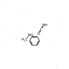 CN.N=C=O.c1ccccc1